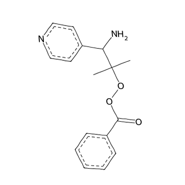 CC(C)(OOC(=O)c1ccccc1)C(N)c1ccncc1